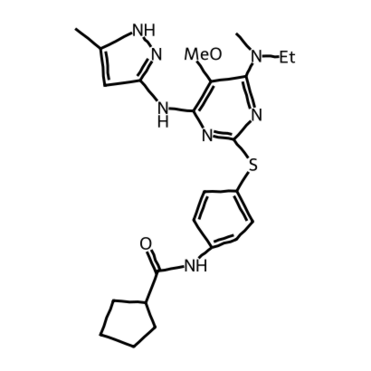 CCN(C)c1nc(Sc2ccc(NC(=O)C3CCCC3)cc2)nc(Nc2cc(C)[nH]n2)c1OC